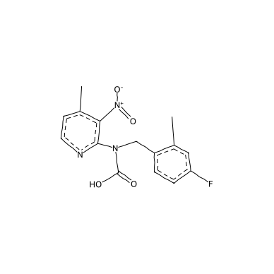 Cc1cc(F)ccc1CN(C(=O)O)c1nccc(C)c1[N+](=O)[O-]